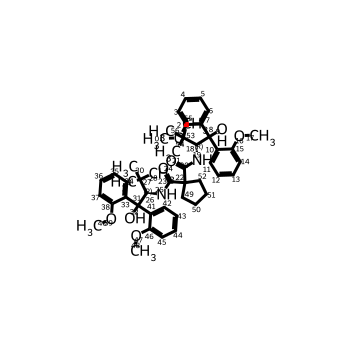 COc1ccccc1C(O)(c1ccccc1OC)[C@H](NC(=O)C1(C(=O)N[C@H](C(C)(C)C)C(O)(c2ccccc2OC)c2ccccc2OC)CCCC1)C(C)(C)C